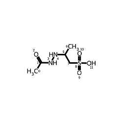 CC(=O)NNC(C)CS(=O)(=O)O